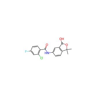 CC1(C)OB(O)c2cc(NC(=O)c3ccc(F)cc3Cl)ccc21